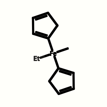 C[CH2][Fe]([CH3])([C]1=CC=CC1)[C]1=CC=CC1